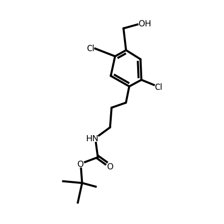 CC(C)(C)OC(=O)NCCCc1cc(Cl)c(CO)cc1Cl